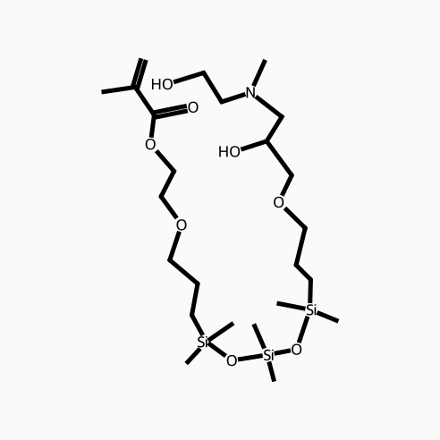 C=C(C)C(=O)OCCOCCC[Si](C)(C)O[Si](C)(C)O[Si](C)(C)CCCOCC(O)CN(C)CCO